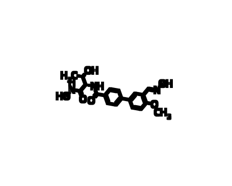 COc1ccc(-c2ccc(C(=O)N[C@H](C(=O)NO)[C@@H](C)O)cc2)cc1C=NO